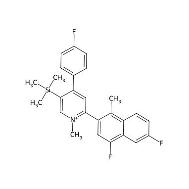 Cc1c(-c2cc(-c3ccc(F)cc3)c([Si](C)(C)C)c[n+]2C)cc(F)c2cc(F)ccc12